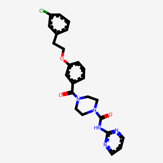 O=C(Nc1ncccn1)N1CCN(C(=O)c2cccc(OCCc3cccc(Cl)c3)c2)CC1